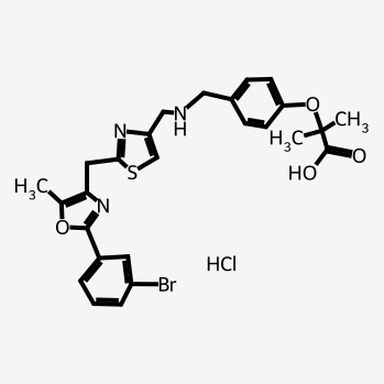 Cc1oc(-c2cccc(Br)c2)nc1Cc1nc(CNCc2ccc(OC(C)(C)C(=O)O)cc2)cs1.Cl